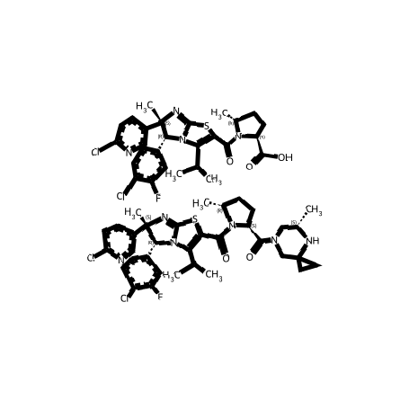 CC(C)C1=C(C(=O)N2[C@H](C)CC[C@H]2C(=O)N2C[C@H](C)NC3(CC3)C2)SC2=N[C@@](C)(c3ccc(Cl)nc3)[C@@H](c3ccc(Cl)c(F)c3)N21.CC(C)C1=C(C(=O)N2[C@H](C)CC[C@H]2C(=O)O)SC2=N[C@@](C)(c3ccc(Cl)nc3)[C@@H](c3ccc(Cl)c(F)c3)N21